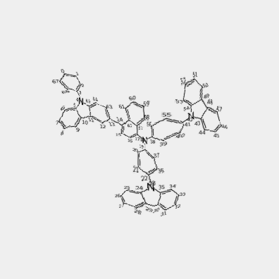 c1ccc(-n2c3ccccc3c3cc(-c4ccc(N(c5ccc(-n6c7ccccc7c7ccccc76)cc5)c5ccc(-n6c7ccccc7c7ccccc76)cc5)c5ccccc45)ccc32)cc1